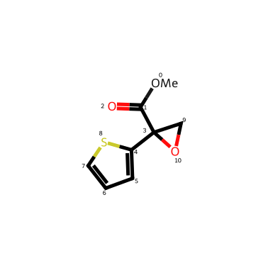 COC(=O)C1(c2cccs2)CO1